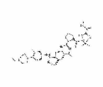 CCN1CCN(c2ccc(Nc3ncnc4cc(OC)c(NC(=O)C5CCCN5C(=O)[C@@H](NC(=O)[C@H](C)NC)C(C)(C)C)cc34)cc2F)CC1